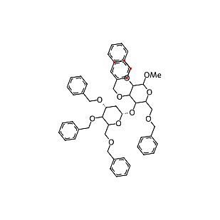 COC1OC(COCc2ccccc2)C(O[C@H]2C[C@@H](OCc3ccccc3)C(OCc3ccccc3)C(COCc3ccccc3)O2)C(OCc2ccccc2)C1OCc1ccccc1